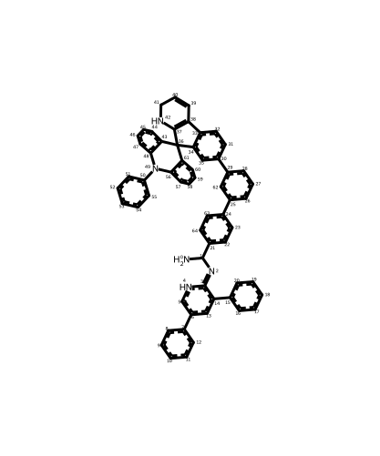 NC(/N=c1\[nH]cc(-c2ccccc2)cc1-c1ccccc1)c1ccc(-c2cccc(-c3ccc4c(c3)C3(C5=C4C=CCN5)c4ccccc4N(c4ccccc4)c4ccccc43)c2)cc1